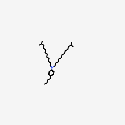 CCCCc1ccc(N(CCCCCCCCCCC(C)C)CCCCCCCCCCC(C)C)cc1